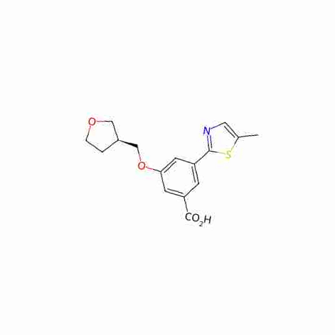 Cc1cnc(-c2cc(OC[C@H]3CCOC3)cc(C(=O)O)c2)s1